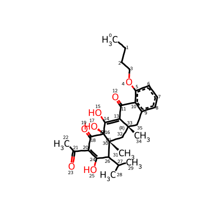 CCCCOc1cccc2c1C(=O)C1=C(O)[C@@]3(O)C(=O)C(C(C)=O)=C(O)C(C(C)C)[C@@]3(C)C[C@@]1(C)C2